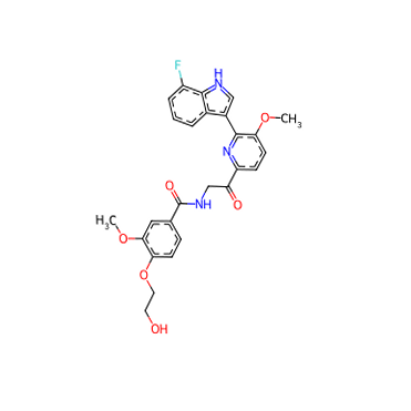 COc1cc(C(=O)NCC(=O)c2ccc(OC)c(-c3c[nH]c4c(F)cccc34)n2)ccc1OCCO